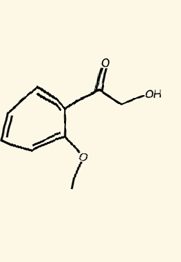 COc1ccccc1C(=O)CO